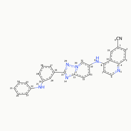 N#Cc1ccc2nccc(Nc3ccc4nc(-c5cccc(Nc6ccccc6)c5)nn4c3)c2c1